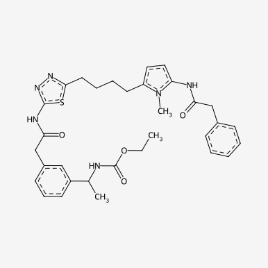 CCOC(=O)NC(C)c1cccc(CC(=O)Nc2nnc(CCCCc3ccc(NC(=O)Cc4ccccc4)n3C)s2)c1